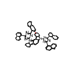 c1ccc2c(-c3nc(-c4cccc5ccccc45)nc(-n4c5ccccc5c5c4ccc4c6ccccc6n(-c6nc(-c7cccc8ccccc78)nc(-c7cccc8ccccc78)n6)c45)n3)cccc2c1